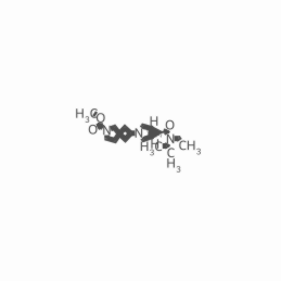 CCN(C(=O)[C@H]1[C@@H]2CN(C3CC4(CCN(C(=O)OC)C4)C3)C[C@@H]21)C(C)C